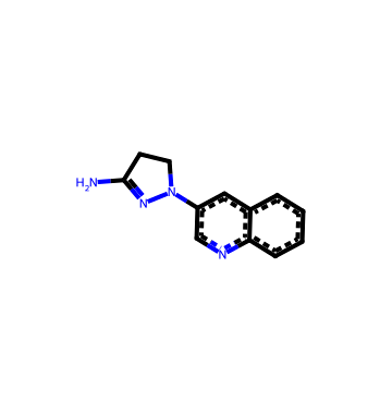 NC1=NN(c2cnc3ccccc3c2)CC1